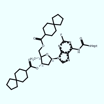 CCCCCCCC(=O)Nc1nc(F)nc2c1ncn2[C@H]1C[C@H](OC(=O)C2CCC3(CCCC3)CC2)[C@@](C)(COC(=O)C2CCC3(CCCC3)CC2)O1